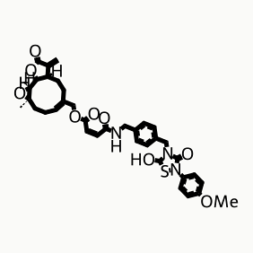 C=C1C(=O)O[C@H]2[C@H]1CC/C(COC(=O)/C=C\C(=O)NCc1ccc(CN3C(=O)N(c4ccc(OC)cc4)SC3O)cc1)=C\CC[C@@]1(C)O[C@@H]21